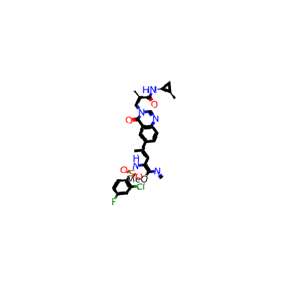 C=N/C(OC)=C(\C=C(/C)c1ccc2ncn(C[C@@H](C)C(=O)N[C@@H]3C[C@H]3C)c(=O)c2c1)NS(=O)(=O)c1ccc(F)cc1Cl